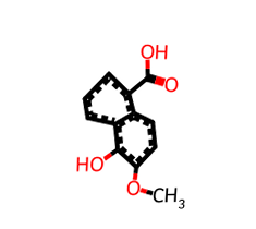 COc1ccc2c(C(=O)O)cccc2c1O